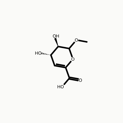 COC1OC(C(=O)O)=C[C@H](O)[C@H]1O